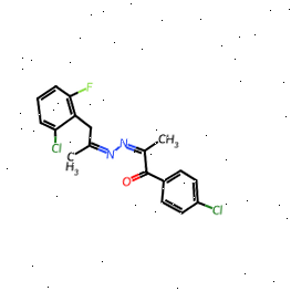 C/C(Cc1c(F)cccc1Cl)=N/N=C(/C)C(=O)c1ccc(Cl)cc1